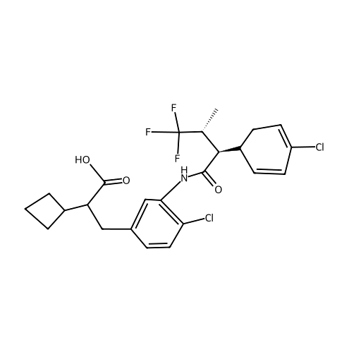 C[C@H]([C@H](C(=O)Nc1cc(CC(C(=O)O)C2CCC2)ccc1Cl)C1C=CC(Cl)=CC1)C(F)(F)F